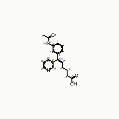 CC(=O)Nc1cccc(/C(=C/CCCC(=O)O)c2cccnc2)c1